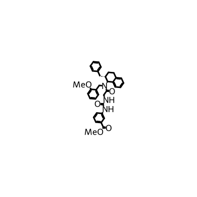 COC(=O)c1cccc(NC(=O)NCC(=O)N(Cc2ccccc2OC)[C@@H]2c3ccccc3CC[C@H]2Cc2ccccc2)c1